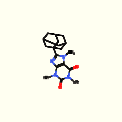 CCCn1c(=O)c2c(nc(C34CC5CC(CC(C5)C3)C4)n2C)n(CCC)c1=O